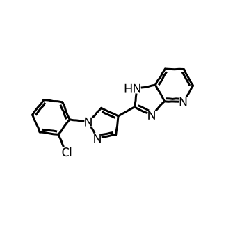 Clc1ccccc1-n1cc(-c2nc3ncccc3[nH]2)cn1